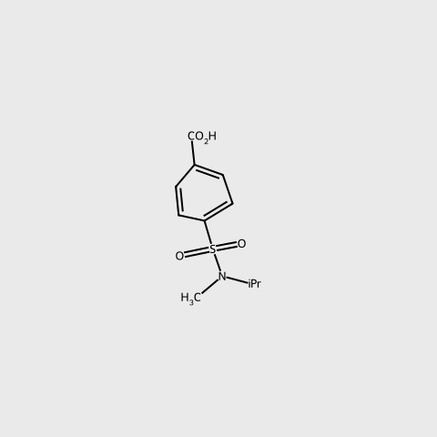 CC(C)N(C)S(=O)(=O)c1ccc(C(=O)O)cc1